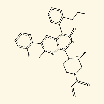 C=CC(=O)N1CCN(c2nc(=O)c(-c3ccccc3CCC)c3cc(-c4ccccc4F)c(C)nn23)[C@@H](C)C1